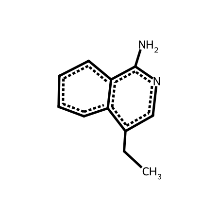 CCc1cnc(N)c2ccccc12